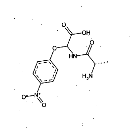 C[C@H](N)C(=O)NC(Oc1ccc([N+](=O)[O-])cc1)C(=O)O